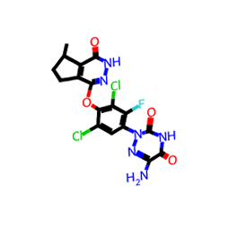 CC1CCc2c(Oc3c(Cl)cc(-n4nc(N)c(=O)[nH]c4=O)c(F)c3Cl)n[nH]c(=O)c21